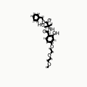 COCCOCCOc1ccc(C(=O)NC(C)(CO)C(=O)OCc2ccccc2)c(O)c1